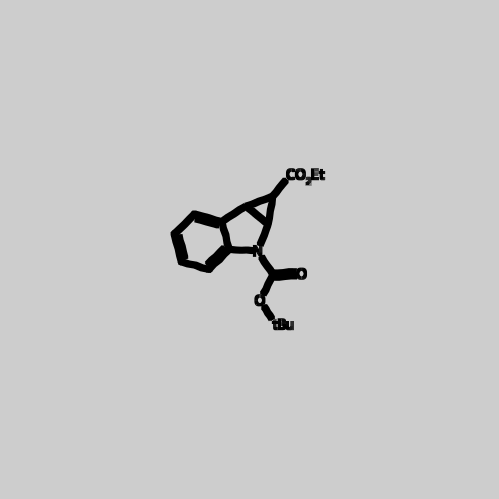 CCOC(=O)C1C2c3ccccc3N(C(=O)OC(C)(C)C)C12